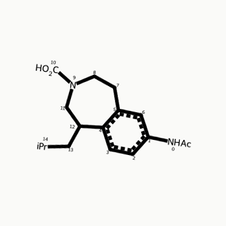 CC(=O)Nc1ccc2c(c1)CCN(C(=O)O)CC2CC(C)C